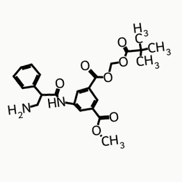 COC(=O)c1cc(NC(=O)C(CN)c2ccccc2)cc(C(=O)OCOC(=O)C(C)(C)C)c1